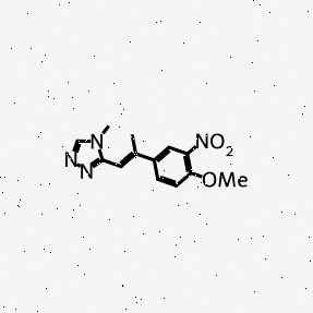 COc1ccc(C(C)=Cc2nncn2C)cc1[N+](=O)[O-]